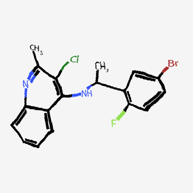 Cc1nc2ccccc2c(NC(C)c2cc(Br)ccc2F)c1Cl